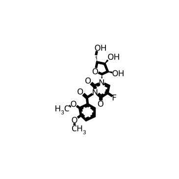 COc1cccc(C(=O)n2c(=O)c(F)cn([C@@H]3O[C@H](CO)[C@@H](O)[C@H]3O)c2=O)c1OC